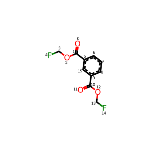 O=C(OCF)c1cccc(C(=O)OCF)c1